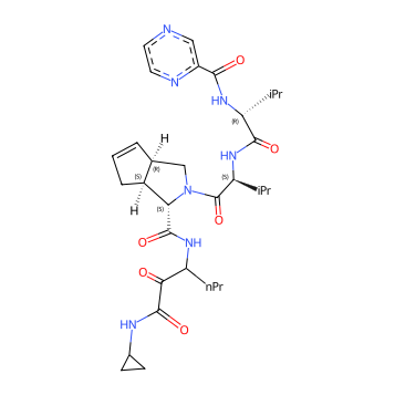 CCCC(NC(=O)[C@@H]1[C@H]2CC=C[C@H]2CN1C(=O)[C@@H](NC(=O)[C@H](NC(=O)c1cnccn1)C(C)C)C(C)C)C(=O)C(=O)NC1CC1